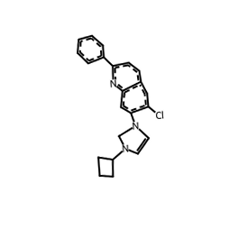 Clc1cc2ccc(-c3ccccc3)nc2cc1N1C=CN(C2CCC2)C1